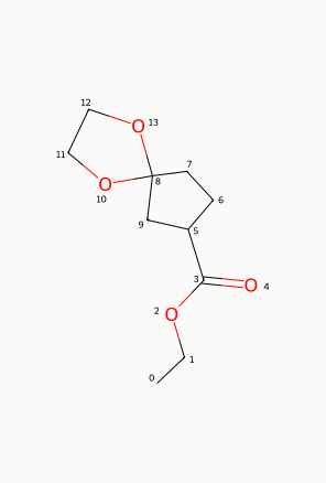 CCOC(=O)C1CCC2(C1)OCCO2